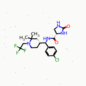 CC1(C)C[C@H]([C@@H](NC(=O)[C@@H]2CNC(=O)N2)c2ccc(Cl)cc2)CCN1CC(F)(F)F